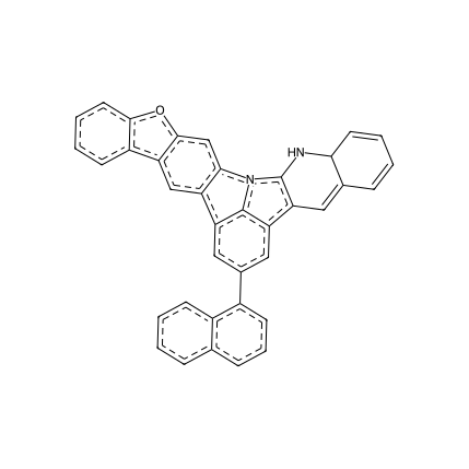 C1=CC2=Cc3c(n4c5cc6oc7ccccc7c6cc5c5cc(-c6cccc7ccccc67)cc3c54)NC2C=C1